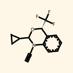 C#CN1c2ccccc2[C@@H](C(F)(F)F)OC1C1CC1